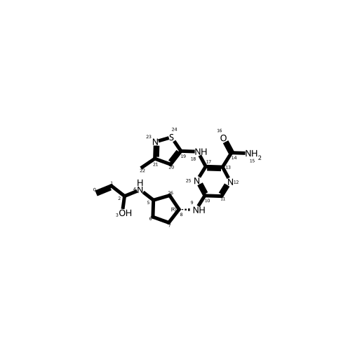 C=CC(O)NC1CC[C@@H](Nc2cnc(C(N)=O)c(Nc3cc(C)ns3)n2)C1